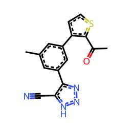 CC(=O)c1sccc1-c1cc(C)cc(-c2nn[nH]c2C#N)c1